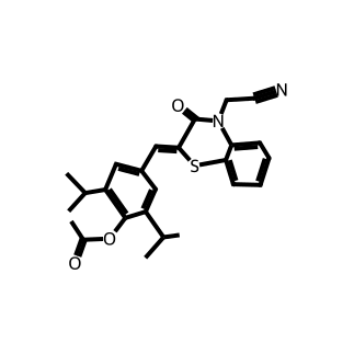 CC(=O)Oc1c(C(C)C)cc(/C=C2\Sc3ccccc3N(CC#N)C2=O)cc1C(C)C